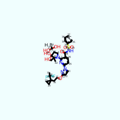 BC(O)(O)[C@@H]1CN(c2nc(-n3ccc(OCCC4(C(C)(F)F)CC4)n3)ccc2C(=O)NS(=O)(=O)c2ccccc2)C(C)(C)C1(O)O